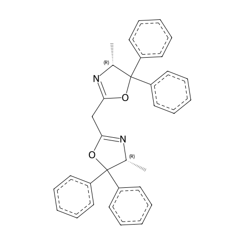 C[C@H]1N=C(CC2=N[C@H](C)C(c3ccccc3)(c3ccccc3)O2)OC1(c1ccccc1)c1ccccc1